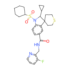 O=C(NCc1ncccc1F)c1ccc2c(c1)C1(CCSCC1)C(C1CC1)N2S(=O)(=O)C1CCCCC1